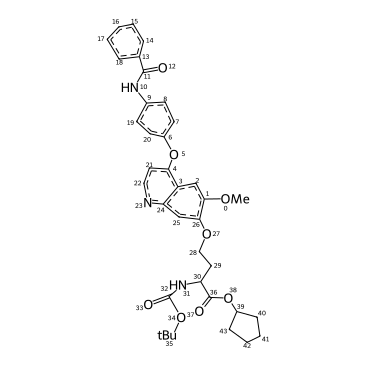 COc1cc2c(Oc3ccc(NC(=O)c4ccccc4)cc3)ccnc2cc1OCCC(NC(=O)OC(C)(C)C)C(=O)OC1CCCC1